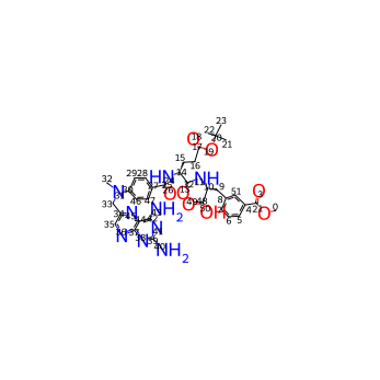 COC(=O)c1cccc(C[C@H](NC(=O)[C@H](CCC(=O)OC(C)(C)C)NC(=O)c2ccc(N(C)Cc3cnc4nc(N)nc(N)c4n3)cc2)C(=O)O)c1